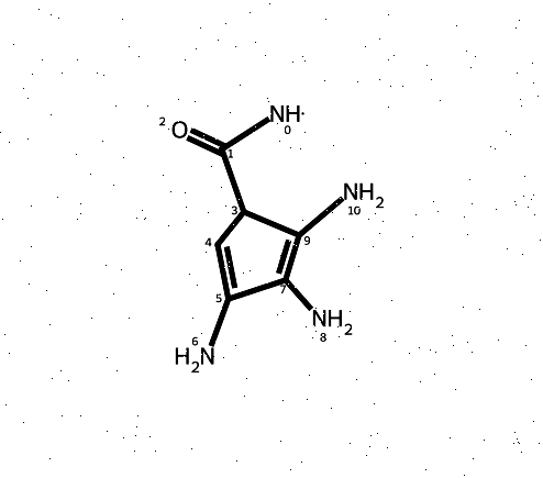 [NH]C(=O)C1C=C(N)C(N)=C1N